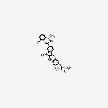 Cc1c(Cc2cccc(OC(C)(C)C(=O)O)c2)c2ccc(C(=O)N[C@@H](C)c3cccc(Cl)c3)cc2n1C